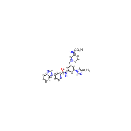 Cc1cn(-c2cc(CN3CCCC(NC(=O)O)C3)cc(NC(=O)c3cc(-n4cnc5ccccc54)ccn3)c2)cn1